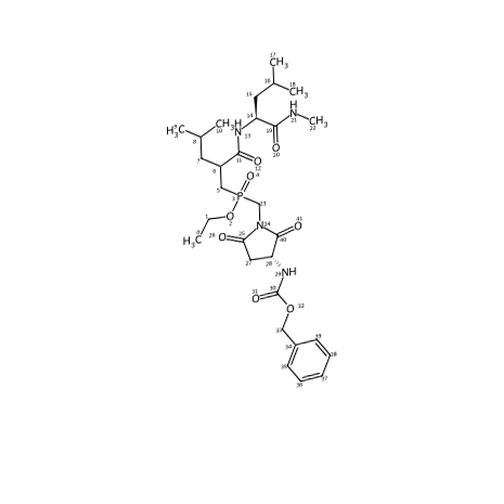 CCOP(=O)(CC(CC(C)C)C(=O)N[C@@H](CC(C)C)C(=O)NC)CN1C(=O)C[C@@H](NC(=O)OCc2ccccc2)C1=O